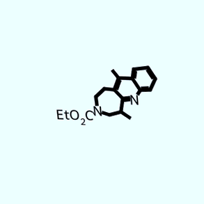 CCOC(=O)N1CCc2c(nc3ccccc3c2C)C(C)C1